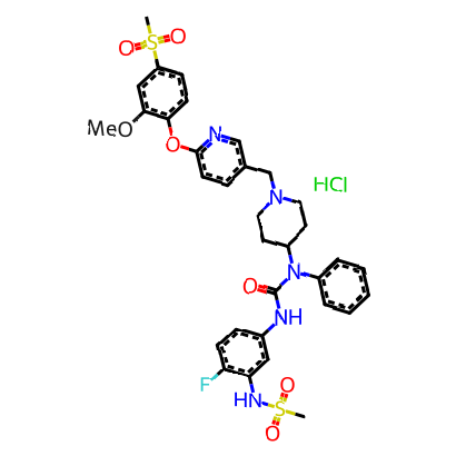 COc1cc(S(C)(=O)=O)ccc1Oc1ccc(CN2CCC(N(C(=O)Nc3ccc(F)c(NS(C)(=O)=O)c3)c3ccccc3)CC2)cn1.Cl